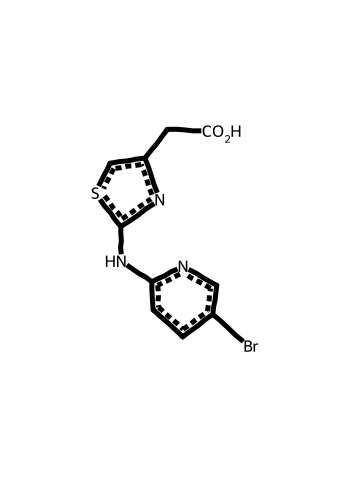 O=C(O)Cc1csc(Nc2ccc(Br)cn2)n1